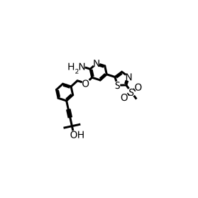 CC(C)(O)C#Cc1cccc(COc2cc(-c3cnc(S(C)(=O)=O)s3)cnc2N)c1